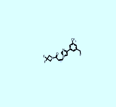 O=C(/C=C\n1cnc(-c2cc(CF)cc(C(F)(F)F)c2)c1)N1CC(F)(F)C1